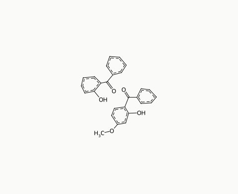 COc1ccc(C(=O)c2ccccc2)c(O)c1.O=C(c1ccccc1)c1ccccc1O